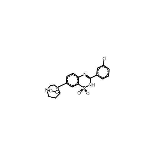 O=S1(=O)NC(c2cccc(Cl)c2)=Nc2ccc(N3CCN4CCC3CC4)cc21